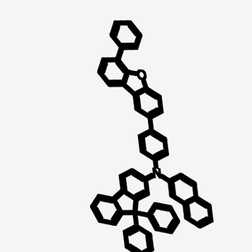 c1ccc(-c2cccc3c2oc2ccc(-c4ccc(N(c5ccc6c(c5)C(c5ccccc5)(c5ccccc5)c5ccccc5-6)c5ccc6ccccc6c5)cc4)cc23)cc1